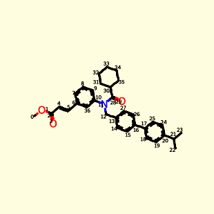 COC(=O)/C=C/c1cccc(N(Cc2ccc(-c3ccc(C(C)C)cc3)cc2)C(=O)C2CCCCC2)c1